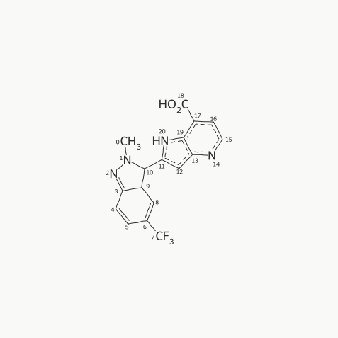 CN1N=C2C=CC(C(F)(F)F)=CC2C1c1cc2nccc(C(=O)O)c2[nH]1